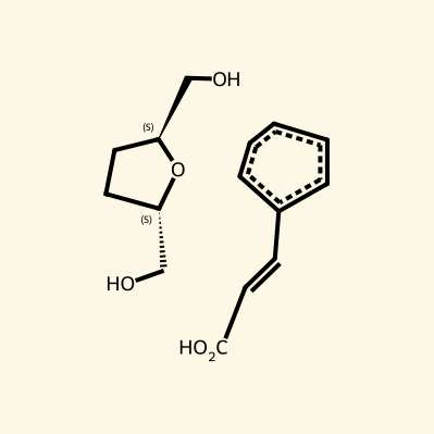 O=C(O)C=Cc1ccccc1.OC[C@@H]1CC[C@@H](CO)O1